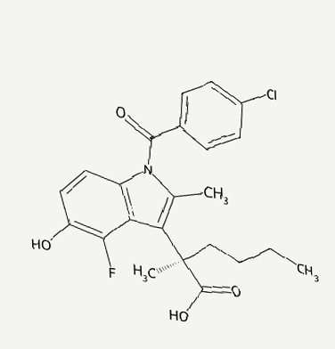 CCCC[C@@](C)(C(=O)O)c1c(C)n(C(=O)c2ccc(Cl)cc2)c2ccc(O)c(F)c12